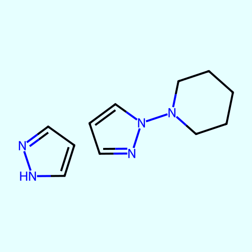 c1cn[nH]c1.c1cnn(N2CCCCC2)c1